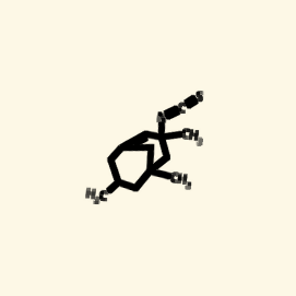 CC1CC2=CC(C)(N=C=S)CC(C)(C2)C1